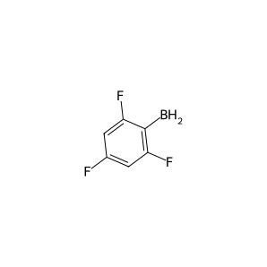 Bc1c(F)cc(F)cc1F